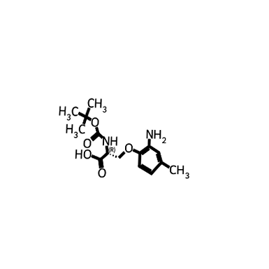 Cc1ccc(OC[C@@H](NC(=O)OC(C)(C)C)C(=O)O)c(N)c1